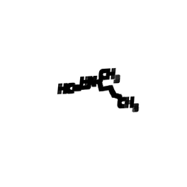 C#CCNC(C)CCCCC